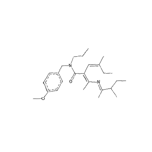 CCCN(Cc1ccc(OC)cc1)C(=O)C(/C=C(/C)CC)=C(C)/N=C(\C)C(C)CC